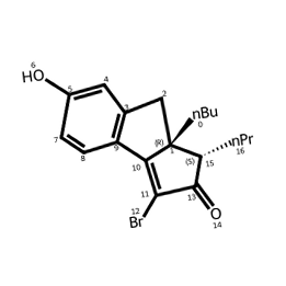 CCCC[C@]12Cc3cc(O)ccc3C1=C(Br)C(=O)[C@H]2CCC